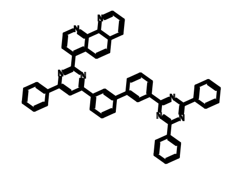 C1=CC2C=Cc3c(-c4nc(-c5ccccc5)cc(-c5cccc(-c6cccc(-c7nc(-c8ccccc8)nc(-c8ccccc8)n7)c6)c5)n4)ccnc3C2N=C1